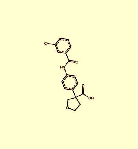 O=C(Nc1ccc(C2(C(=O)O)CCOC2)cc1)c1cccc(Cl)c1